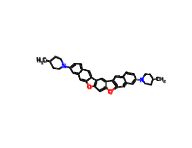 CC1CCN(c2ccc3cc4c(cc3c2)oc2cc3oc5cc6cc(N7CCC(C)CC7)ccc6cc5c3cc24)CC1